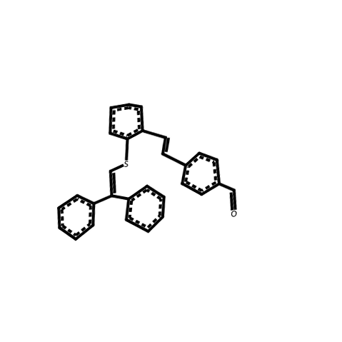 O=Cc1ccc(C=Cc2ccccc2SC=C(c2ccccc2)c2ccccc2)cc1